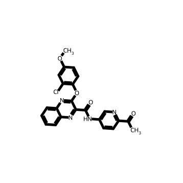 COc1ccc(Oc2nc3ccccc3nc2C(=O)Nc2ccc(C(C)=O)nc2)c(Cl)c1